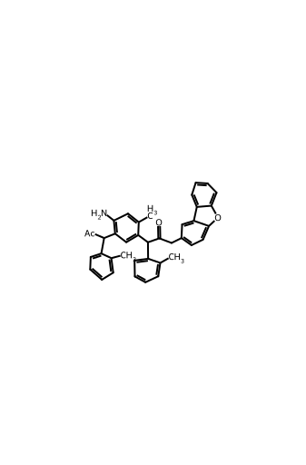 CC(=O)C(c1ccccc1C)c1cc(C(C(=O)Cc2ccc3oc4ccccc4c3c2)c2ccccc2C)c(C)cc1N